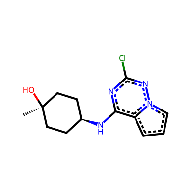 C[C@]1(O)CC[C@@H](Nc2nc(Cl)nn3cccc23)CC1